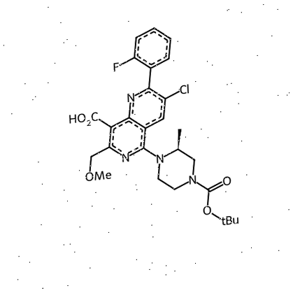 COCc1nc(N2CCN(C(=O)OC(C)(C)C)C[C@@H]2C)c2cc(Cl)c(-c3ccccc3F)nc2c1C(=O)O